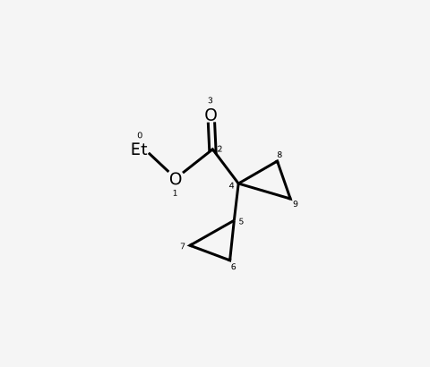 CCOC(=O)C1(C2CC2)CC1